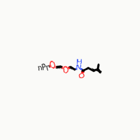 C=C(C)CCC(=O)NCCOCCOCCC